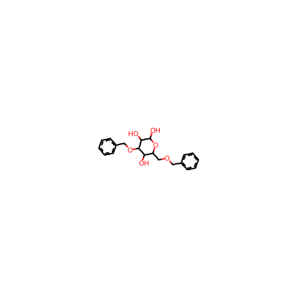 OC1OC(COCc2ccccc2)C(O)C(OCc2ccccc2)C1O